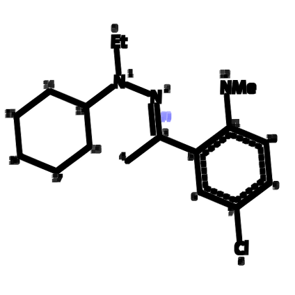 CCN(/N=C(\C)c1cc(Cl)ccc1NC)C1CCCCC1